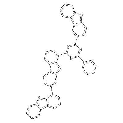 c1ccc(-c2nc(-c3ccc4oc5ccccc5c4c3)nc(-c3cccc4c3sc3cc(-c5cccc6c5sc5ccccc56)ccc34)n2)cc1